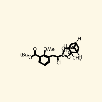 COc1c(CC(Cl)B2OC3C[C@H]4C[C@@H](C4(C)C)[C@]3(C)O2)cccc1C(=O)OC(C)(C)C